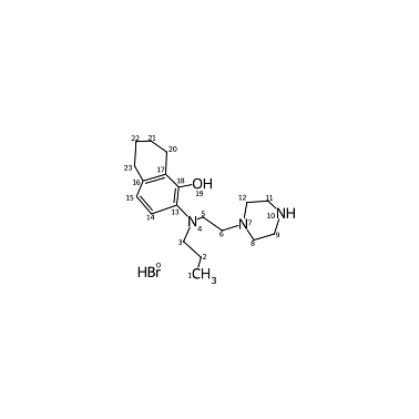 Br.CCCN(CCN1CCNCC1)c1ccc2c(c1O)CCCC2